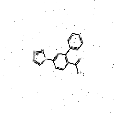 NC(=O)c1ccc(-n2ccnn2)cc1-c1ccccc1